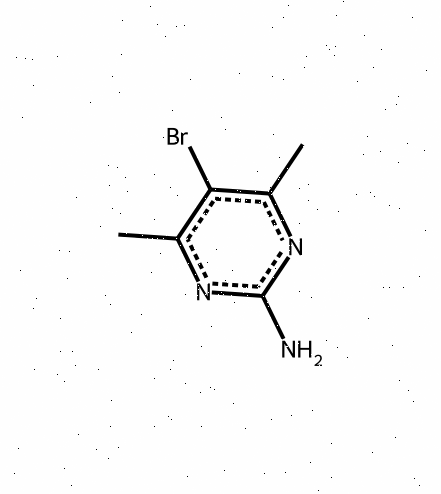 Cc1nc(N)nc(C)c1Br